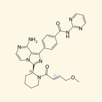 COC/C=C/C(=O)N1CCCC[C@H]1c1nc(-c2ccc(C(=O)Nc3ncccn3)cc2)c2c(N)nccn12